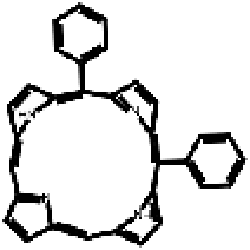 C1=Cc2cc3ccc([nH]3)c(-c3ccccc3)c3nc(c(-c4ccccc4)c4ccc(cc1n2)[nH]4)C=C3